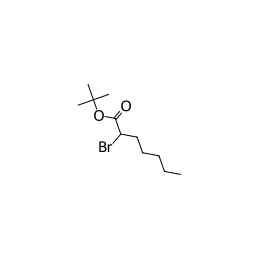 CCCCCC(Br)C(=O)OC(C)(C)C